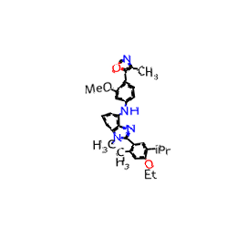 CCOc1cc(C)c(-c2nc3c(Nc4ccc(-c5ocnc5C)c(OC)c4)cccc3n2C)cc1C(C)C